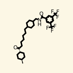 C[C@H]1CC[C@H](C(=O)CCCCCCC2CCC(CNC(=O)c3cc(C(F)(F)F)cc(C(F)(F)F)c3)CC2)CC1